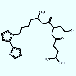 NC(CCC(=O)NC(CCS)C(=O)NC(CCCCn1cccc1-c1ccco1)C(=O)O)C(=O)O